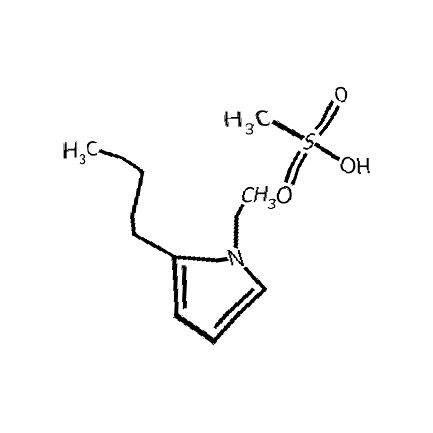 CCCc1cccn1C.CS(=O)(=O)O